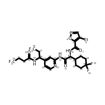 CCc1cnoc1C(=O)N[C@H](C(=O)Nc1cc(C(CC(F)(F)F)NC(=O)CCC(F)(F)F)ccn1)C1CCC(F)(F)CC1